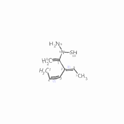 C=C(C(/C=C\C)=C/C)N(N)S